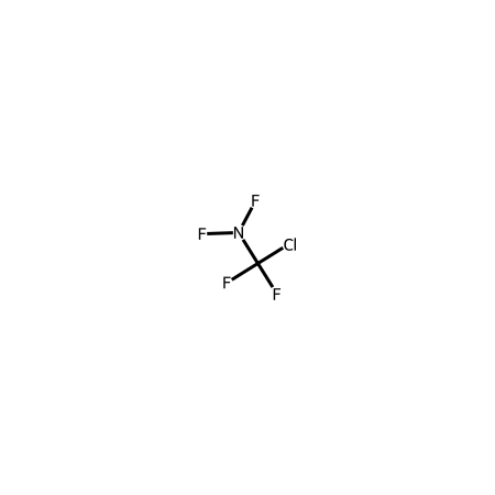 FN(F)C(F)(F)Cl